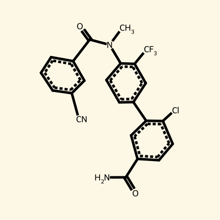 CN(C(=O)c1cccc(C#N)c1)c1ccc(-c2cc(C(N)=O)ccc2Cl)cc1C(F)(F)F